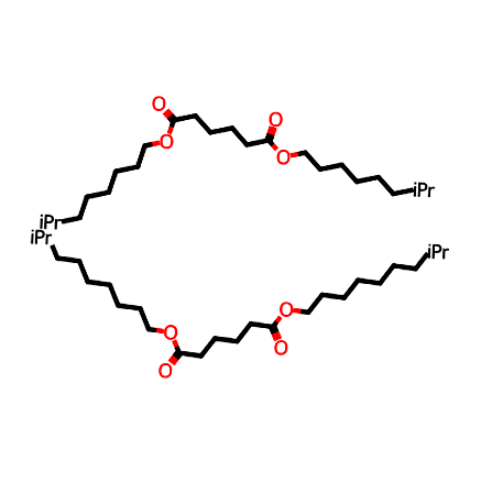 CC(C)CCCCCCCOC(=O)CCCCC(=O)OCCCCCCCC(C)C.CC(C)CCCCCCOC(=O)CCCCC(=O)OCCCCCCC(C)C